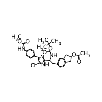 COC(=O)Nc1ccc(-c2nc(C(Cc3ccc4c(c3)CC(OC(C)=O)C4)NC(=O)OC(C)(C)C)[nH]c2Cl)cc1